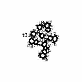 Cc1cc2c(cc1N1c3cc4c(cc3B3c5cc6c(cc5N(c5ccc7c(c5)C(C)(C)CCC7(C)C)c5cc(N(c7ccc(C(C)(C)C)cc7)c7ccc(C(C)(C)C)cc7)cc1c53)C(C)(C)CCC6(C)C)C(C)(C)c1cc3c(cc1-4)C(C)(C)CCC3(C)C)C(C)(C)CCC2(C)C